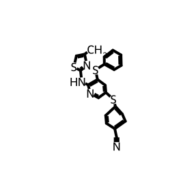 Cc1csc(Nc2ncc(Sc3ccc(C#N)cc3)cc2Sc2ccccc2)n1